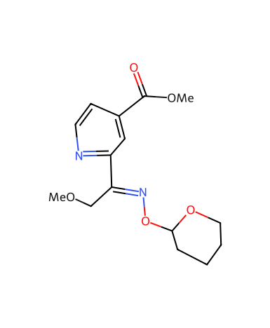 COC/C(=N\OC1CCCCO1)c1cc(C(=O)OC)ccn1